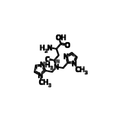 C[C@@H](CC(N)C(=O)O)N(Cc1nccn1C)Cc1nccn1C